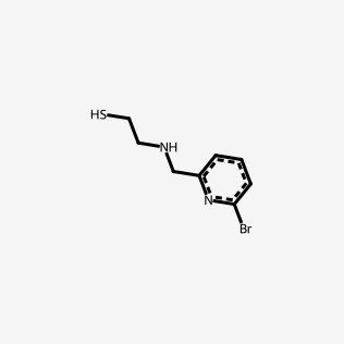 SCCNCc1cccc(Br)n1